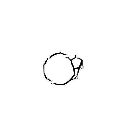 C1CCCCCC2OC3OC(CCCC1)CC2O3